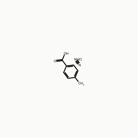 Cc1ccc(C(=O)O)cc1.Cl.N#N